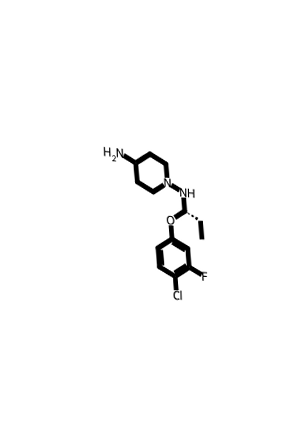 CC[C@@H](NN1CCC(N)CC1)Oc1ccc(Cl)c(F)c1